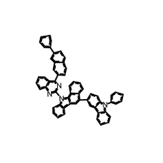 c1ccc(-c2ccc3ccc(-c4nc(-n5c6ccccc6c6cc(-c7ccc8c(c7)c7ccccc7n8-c7ccccc7)c7ccccc7c65)nc5ccccc45)cc3c2)cc1